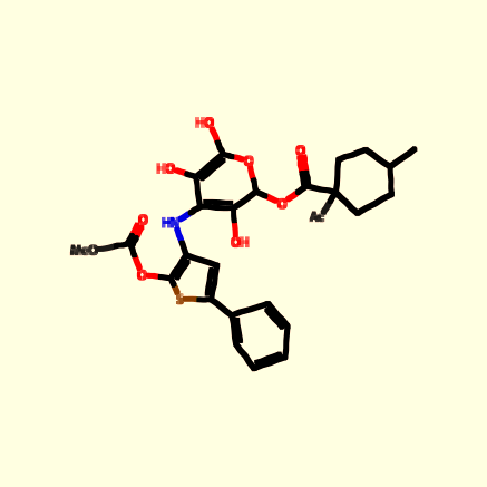 COC(=O)Oc1sc(-c2ccccc2)cc1NC1=C(O)C(OC(=O)C2(C(C)=O)CCC(C)CC2)OC(O)=C1O